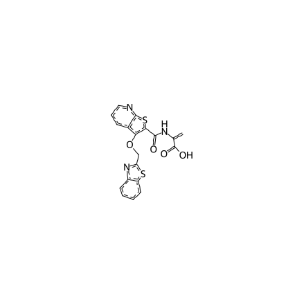 C=C(NC(=O)c1sc2ncccc2c1OCc1nc2ccccc2s1)C(=O)O